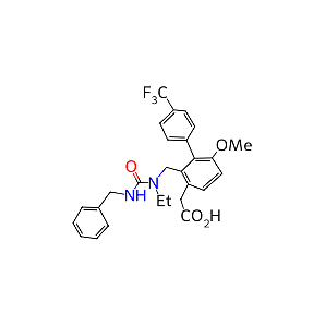 CCN(Cc1c(CC(=O)O)ccc(OC)c1-c1ccc(C(F)(F)F)cc1)C(=O)NCc1ccccc1